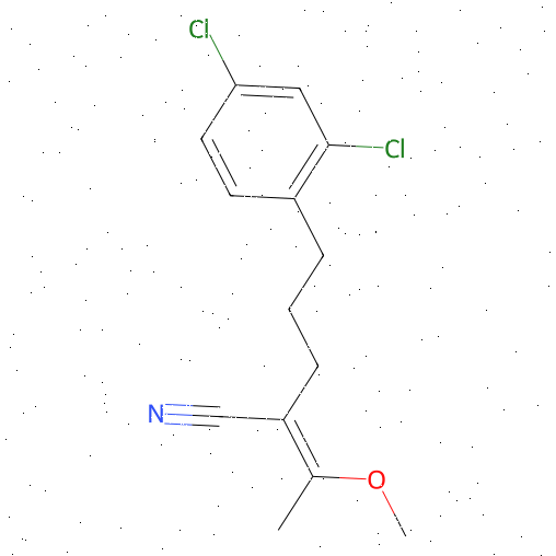 CO/C(C)=C(/C#N)CCCc1ccc(Cl)cc1Cl